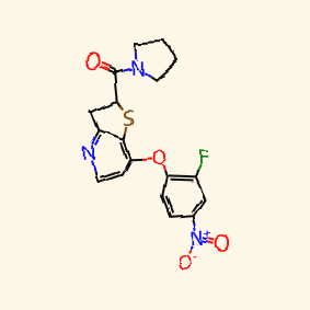 O=C(C1Cc2nccc(Oc3ccc([N+](=O)[O-])cc3F)c2S1)N1CCCC1